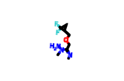 C/N=C(/COCC1CC1(F)F)N(C)N